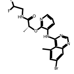 Cc1cc(Br)cc2ncnc(Nc3cccnc3O[C@H](C)C(=O)NCC(F)F)c12